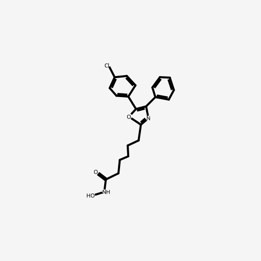 O=C(CCCCCc1nc(-c2ccccc2)c(-c2ccc(Cl)cc2)o1)NO